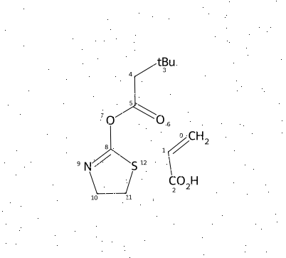 C=CC(=O)O.CC(C)(C)CC(=O)OC1=NCCS1